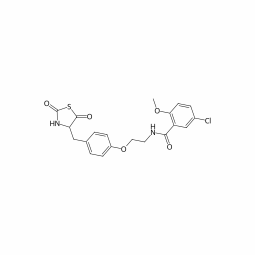 COc1ccc(Cl)cc1C(=O)NCCOc1ccc(CC2NC(=O)SC2=O)cc1